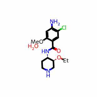 CCO[C@@H]1CNCC[C@@H]1NC(=O)c1cc(Cl)c(N)cc1OC.O